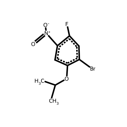 CC(C)Oc1cc([N+](=O)[O-])c(F)cc1Br